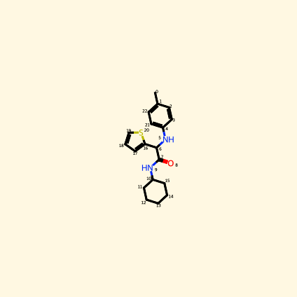 Cc1ccc(NC(C(=O)NC2CCCCC2)c2cccs2)cc1